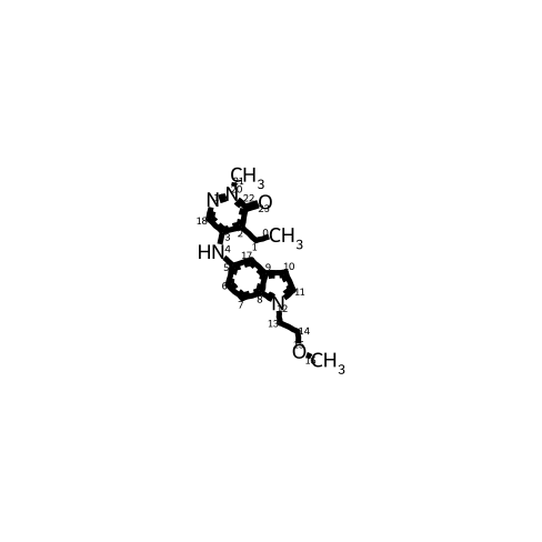 CCc1c(Nc2ccc3c(ccn3CCOC)c2)cnn(C)c1=O